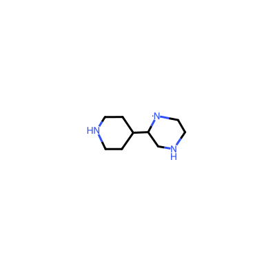 C1CNCC(C2CCNCC2)[N]1